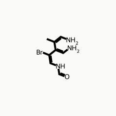 CC(=C/N)/C(=C\N)C(/Br)=C\NC=O